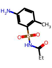 CCC(=O)NS(=O)(=O)c1cc(N)ccc1C